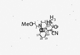 COCCN1CC[C@@H]2[C@@H](C)C(=O)C(C#N)=C[C@@]2(c2ccccc2)C1=O